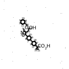 Cc1noc(-c2ccc(-c3ccc(C4(C(=O)O)CC4)cc3)cc2)c1CC(O)OCc1ccccc1